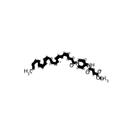 CC/C=C\C/C=C\C/C=C\C/C=C\C/C=C\C/C=C\CCC(=O)N1CCC(NC(=O)/C=C/C(=O)OC)CC1